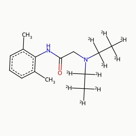 [2H]C([2H])([2H])C([2H])([2H])N(CC(=O)Nc1c(C)cccc1C)C([2H])([2H])C([2H])([2H])[2H]